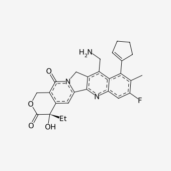 CC[C@@]1(O)C(=O)OCc2c1cc1n(c2=O)Cc2c-1nc1cc(F)c(C)c(C3=CCCC3)c1c2CN